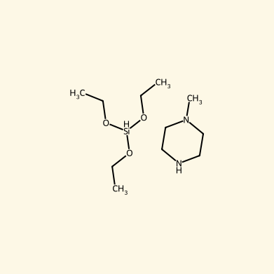 CCO[SiH](OCC)OCC.CN1CCNCC1